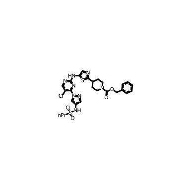 CCCS(=O)(=O)Nc1cnn(-c2nc(Nc3cnc(C4CCN(C(=O)OCc5ccccc5)CC4)s3)ncc2Cl)c1